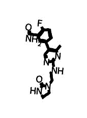 Cc1nc(NCCN2CCNC2=O)ncc1-c1ccc(F)c(C(N)=O)c1